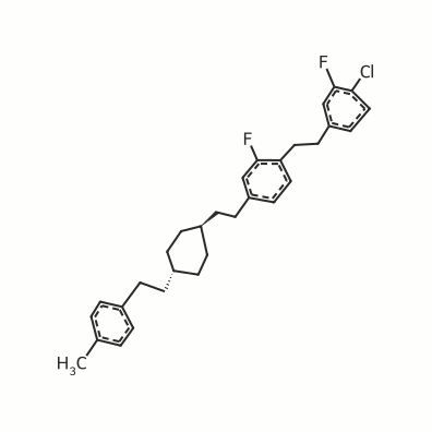 Cc1ccc(CC[C@H]2CC[C@H](CCc3ccc(CCc4ccc(Cl)c(F)c4)c(F)c3)CC2)cc1